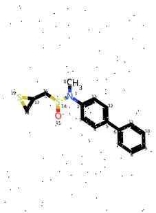 CN(c1ccc(-c2ccccc2)cc1)[S+]([O-])CC1CS1